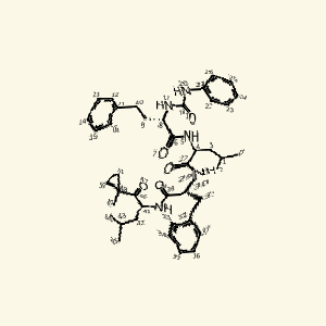 CC(C)C[C@H](NC(=O)[C@H](CCc1ccccc1)NC(=O)Nc1ccccc1)C(=O)N[C@@H](Cc1ccccc1)C(=O)N[C@@H](CC(C)C)C(=O)C1(C)CC1